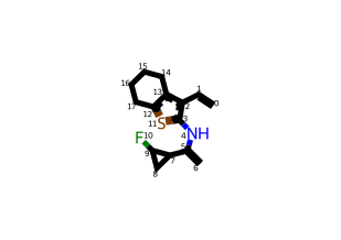 C=Cc1c(NC(=C)C2CC2F)sc2c1CCCC2